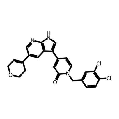 O=c1cc(-c2c[nH]c3ncc(C4=CCOCC4)cc23)ccn1Cc1ccc(Cl)c(Cl)c1